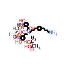 CC(=O)O.CC(=O)O.CS(=O)(=O)Nc1cc([C@@H](O)CN(CCCCc2ccc(CCCCN)cc2)C[C@H](O)c2ccc(O)c(NS(C)(=O)=O)c2)ccc1O